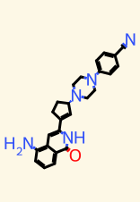 N#Cc1ccc(N2CCN([C@H]3C=C(c4cc5c(N)cccc5c(=O)[nH]4)CC3)CC2)cc1